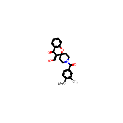 COc1ccc(C(=O)N2CCC3(CC2)Oc2ccccc2C(=O)C3=CO)cc1C(F)(F)F